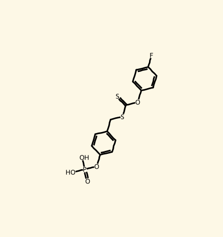 O=P(O)(O)Oc1ccc(CSC(=S)Oc2ccc(F)cc2)cc1